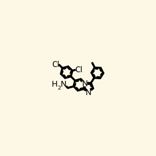 Cc1cccc(-c2cnc3cc(CN)c(-c4ccc(Cl)cc4Cl)cn23)c1